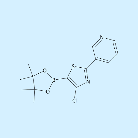 CC1(C)OB(c2sc(-c3cccnc3)nc2Cl)OC1(C)C